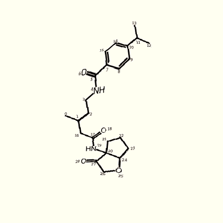 CC(CCNC(=O)c1ccc(C(C)C)cc1)CC(=O)NC12CCCC1OCC2=O